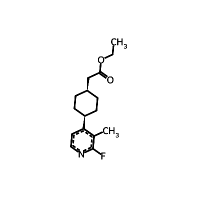 CCOC(=O)C[C@H]1CC[C@@H](c2ccnc(F)c2C)CC1